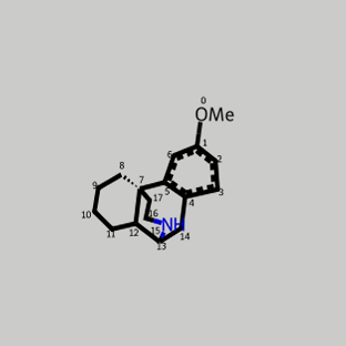 COc1ccc2c(c1)[C@]13CCCCC1C(C2)NCC3